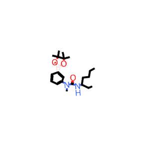 CCCCC(CC)NC(=O)N(C)c1cccc(B2OC(C)(C)C(C)(C)O2)c1